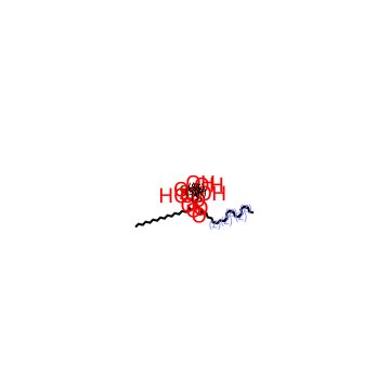 CC/C=C\C/C=C\C/C=C\C/C=C\C/C=C\CCCC(=O)OC(CO[C@H]1O[C@H](CS(=O)(=O)O)[C@@H](O)[C@H](O)[C@H]1O)OC(=O)CCCCCCCCCCCCCCC